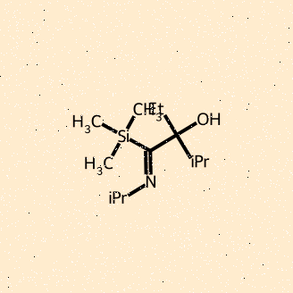 CCC(O)(C(=NC(C)C)[Si](C)(C)C)C(C)C